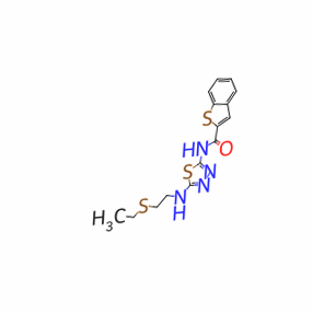 CCSCCNc1nnc(NC(=O)c2cc3ccccc3s2)s1